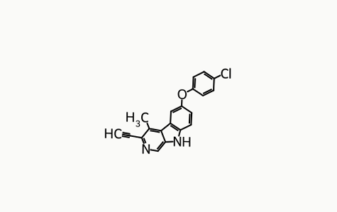 C#Cc1ncc2[nH]c3ccc(Oc4ccc(Cl)cc4)cc3c2c1C